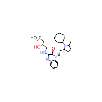 CC1CC[C@@H](C[C@H](C)n2c(=O)c(NCC(O)CC(=O)O)nc3ccccc32)N1C1CCCCCCC1